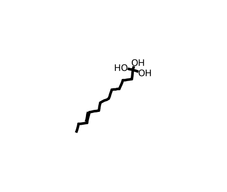 CCC=CCCCCCCCC(O)(O)O